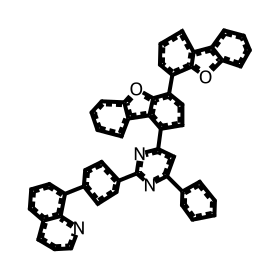 c1ccc(-c2cc(-c3ccc(-c4cccc5c4oc4ccccc45)c4oc5ccccc5c34)nc(-c3ccc(-c4cccc5cccnc45)cc3)n2)cc1